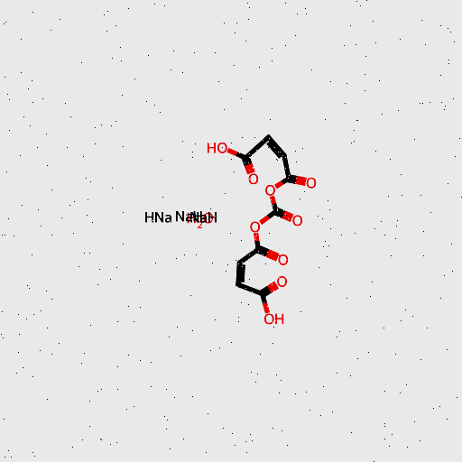 O.O=C(O)/C=C\C(=O)OC(=O)OC(=O)/C=C\C(=O)O.[NaH].[NaH].[NaH]